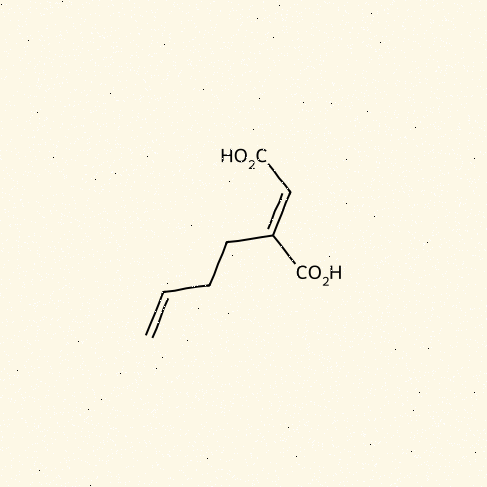 C=CCCC(=CC(=O)O)C(=O)O